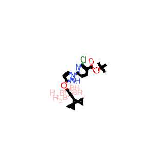 BC(B)(OC1C=CN(c2ccc(C(=O)OC(C)(C)C)c(Cl)n2)N1)C(B)(B)C1C2(CC2)C12CC2